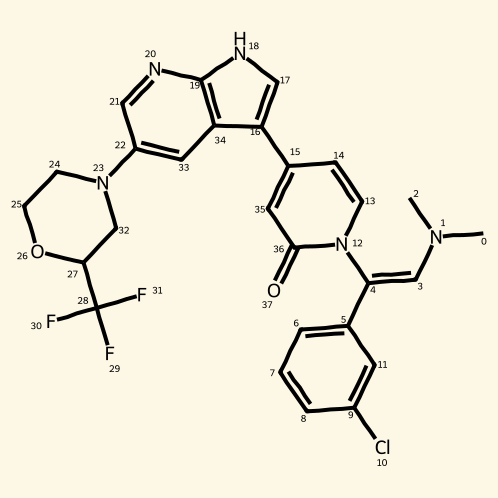 CN(C)/C=C(/c1cccc(Cl)c1)n1ccc(-c2c[nH]c3ncc(N4CCOC(C(F)(F)F)C4)cc23)cc1=O